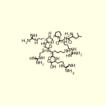 CC(C)C[C@H](N)C(=O)N[C@@H](CCCNC(=N)N)C(=O)N1CCC[C@H]1C(=O)N[C@@H](CCCNC(=N)N)C(=O)N[C@@H](CCCNC(=N)N)C(=O)N[C@@H](CCCCN)C(=O)N[C@@H](CCCNC(=N)N)C(=O)O